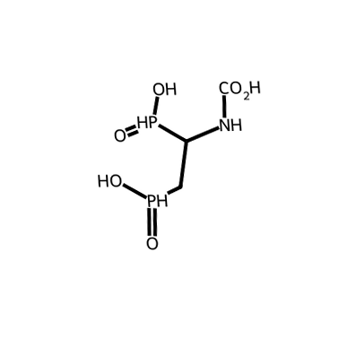 O=C(O)NC(C[PH](=O)O)[PH](=O)O